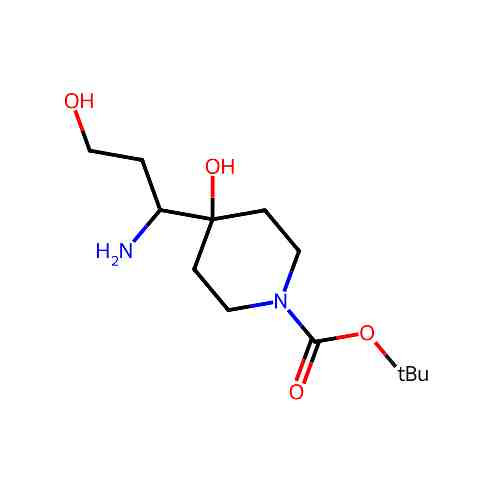 CC(C)(C)OC(=O)N1CCC(O)(C(N)CCO)CC1